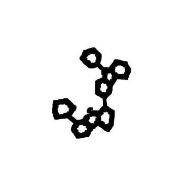 c1ccc(-c2cccc3c2sc2c(-c4ccc5c(c4)c4ccccc4n5-c4ccccc4)cccc23)cc1